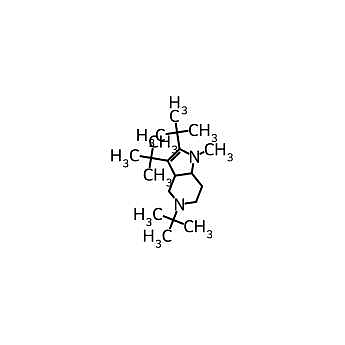 CN1C(C(C)(C)C)=C(C(C)(C)C)C2CN(C(C)(C)C)CCC21